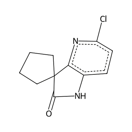 O=C1Nc2ccc(Cl)nc2C12CCCC2